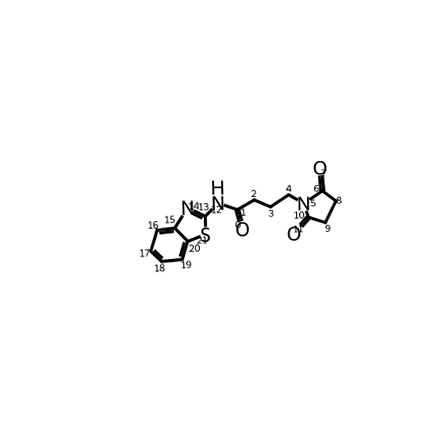 O=C(CCCN1C(=O)CCC1=O)Nc1nc2ccccc2s1